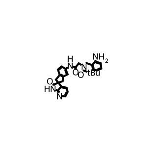 CC(C)(C)C(=O)N(CC(=O)Nc1ccc2c(c1)CC1(C2)C(=O)Nc2ncccc21)Cc1ccccc1N